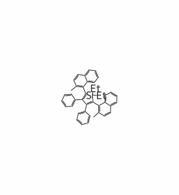 CC[Si]1(CC)C(c2c(C)ccc3ccccc23)=C(c2ccccc2)C(c2ccccc2)=C1c1c(C)ccc2ccccc12